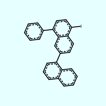 Ic1ccc(-c2ccccc2)c2cc(-c3cccc4ccccc34)ccc12